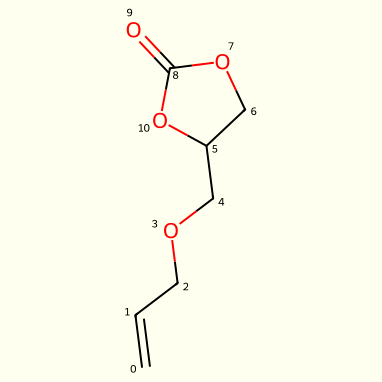 C=CCOCC1COC(=O)O1